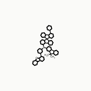 CC1(C)c2ccccc2-c2ccc(N(c3cccc(-c4cccc5c4oc4ccccc45)c3)c3cccc4c3-c3ccccc3C43c4ccccc4-c4c(-c5ccccc5)cccc43)cc21